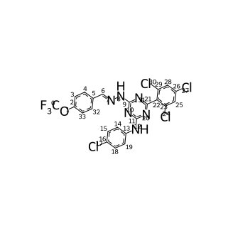 FC(F)(F)Oc1ccc(C=NNc2nc(Nc3ccc(Cl)cc3)nc(-c3c(Cl)cc(Cl)cc3Cl)n2)cc1